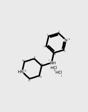 Cl.Cl.c1cncc(NC2CCNCC2)c1